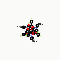 CCCCc1ccc(N2c3ccccc3C3(c4cc(-c5ccc(F)cc5F)ccc4-c4c3c3c(c5c4C4(c6cc(-c7ccc(F)cc7F)ccc6-5)c5ccccc5N(c5ccc(CCCC)cc5)c5ccccc54)C4(c5cc(-c6ccc(F)cc6F)ccc5-3)c3ccccc3N(c3ccc(CCCC)cc3)c3ccccc34)c3ccccc32)cc1